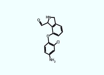 Nc1ccc(Oc2cccc3c2C(C=O)NC3)c(Cl)c1